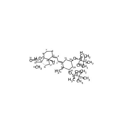 C=C1/C(=C/C=C2/CCC[C@]3(C)[C@@H]([C@H](C)C=O)CC[C@@H]23)C[C@@H](O[Si](C)(C)C(C)(C)C)C[C@@H]1O[Si](C)(C)C(C)(C)C